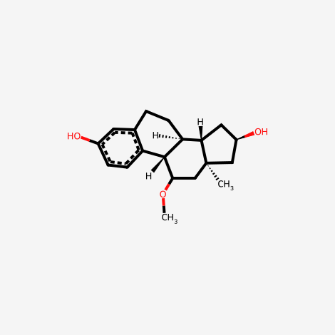 COC1C[C@]2(C)C[C@H](O)C[C@H]2[C@@H]2CCc3cc(O)ccc3[C@@H]12